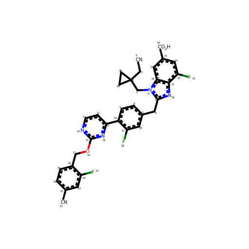 N#CCC1(Cn2c(Cc3ccc(-c4ccnc(OCc5ccc(C#N)cc5F)n4)c(F)c3)nc3c(F)cc(C(=O)O)cc32)CC1